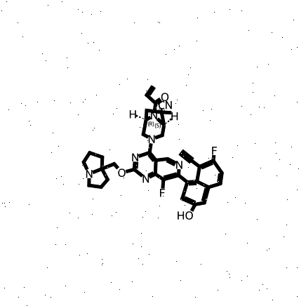 C#Cc1c(F)ccc2cc(O)cc(-c3ncc4c(N5C[C@H]6C[C@](C)(C#N)[C@@H](C5)N6C(=O)C=C)nc(OCC56CCCN5CCC6)nc4c3F)c12